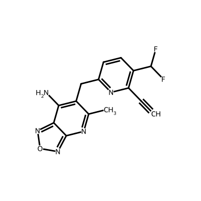 C#Cc1nc(Cc2c(C)nc3nonc3c2N)ccc1C(F)F